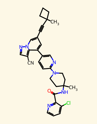 CC1(C#Cc2cc(-c3ccc(N4CCC(C)(NC(=O)c5ncccc5Cl)CC4)nc3)c3c(C#N)cnn3c2)CCC1